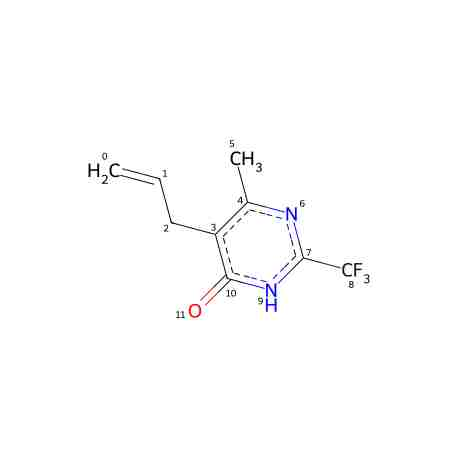 C=CCc1c(C)nc(C(F)(F)F)[nH]c1=O